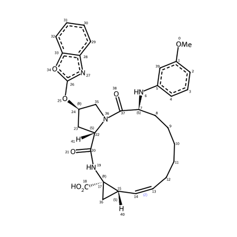 COc1cccc(N[C@H]2CCCCC/C=C\[C@@H]3C[C@@]3(C(=O)O)NC(=O)[C@@H]3C[C@@H](Oc4nc5ccccc5o4)CN3C2=O)c1